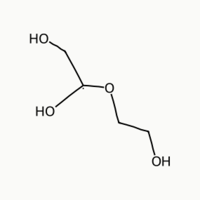 OCCO[C](O)CO